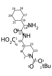 CC(=O)O.CC(C)(C)OC(=O)N1CCC(CNC(=O)C(N)C2CCCCC2)CC1